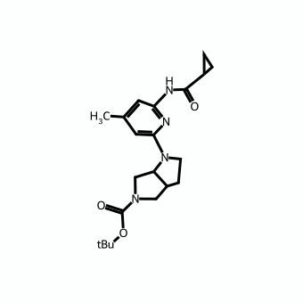 Cc1cc(NC(=O)C2CC2)nc(N2CCC3CN(C(=O)OC(C)(C)C)CC32)c1